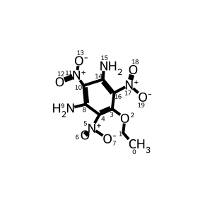 CCOc1c([N+](=O)[O-])c(N)c([N+](=O)[O-])c(N)c1[N+](=O)[O-]